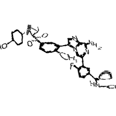 CNC(=O)c1ccc(F)c(-c2cn3c(-c4cc(S(=O)(=O)N[C@H]5CC[C@H](O)CC5)ccc4C)cnc3c(N)n2)c1